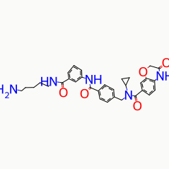 NCCCCCNC(=O)c1cccc(NC(=O)c2ccc(CN(C(=O)c3ccc4c(c3)OCC(=O)N4)C3CC3)cc2)c1